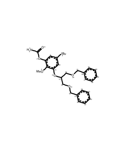 COc1c(OC(N)=O)cc(C(C)(C)C)cc1OC(COCc1ccccc1)COCc1ccccc1